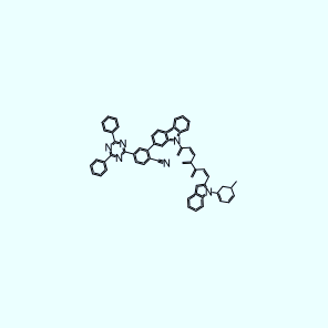 C=C(/C=C\C(=C)n1c2ccccc2c2ccc(-c3cc(-c4nc(-c5ccccc5)nc(-c5ccccc5)n4)ccc3C#N)cc21)C(=C)/C=C\c1cc2ccccc2n1C1=CC=CC(C)C1